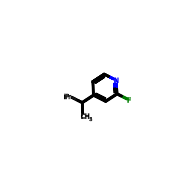 CC(C)C(C)c1ccnc(F)c1